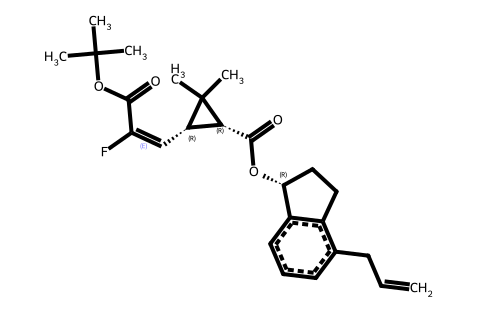 C=CCc1cccc2c1CC[C@H]2OC(=O)[C@@H]1[C@H](/C=C(/F)C(=O)OC(C)(C)C)C1(C)C